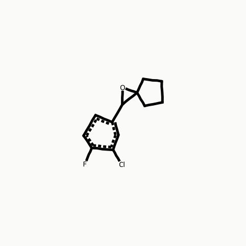 Fc1ccc(C2OC23CCCC3)cc1Cl